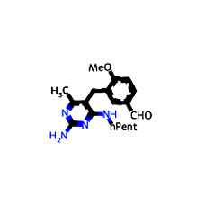 CCCCCNc1nc(N)nc(C)c1Cc1cc(C=O)ccc1OC